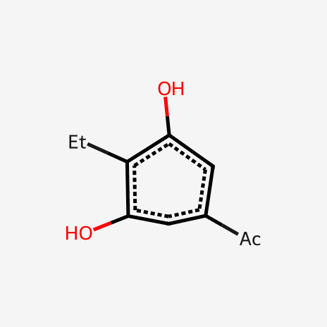 CCc1c(O)cc(C(C)=O)cc1O